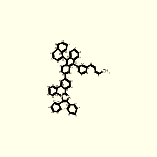 C/C=C\C=C/c1cccc(-c2c3ccccc3c(-c3cccc4ccccc34)c3ccc(-c4ccc5c(c4)c4ccccc4n4c(-c6ccccc6)c(-c6ccccc6)nc54)cc23)c1